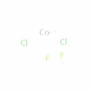 [Cl][Co+2][Cl].[F-].[F-]